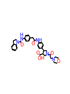 O=C(Cc1ccc(NC(=O)N2CCc3ccccc32)cc1)Nc1ccc(C2CN(C(=O)CN3CCOCC3)CC2C(=O)O)cc1